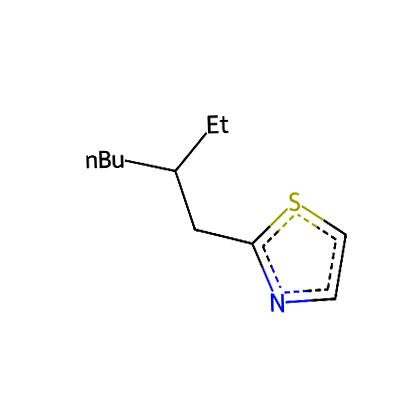 CCCCC(CC)Cc1nccs1